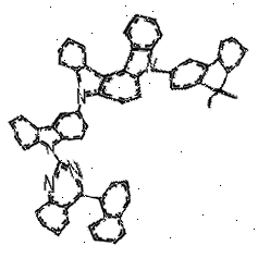 CC1(C)c2ccccc2-c2cc(-n3c4ccccc4c4c5c6ccccc6n(-c6ccc7c(c6)c6ccccc6n7-c6nc(-c7cccc8ccccc78)c7ccccc7n6)c5ccc43)ccc21